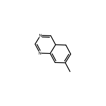 CC1=CCC2C=NC=NC2=C1